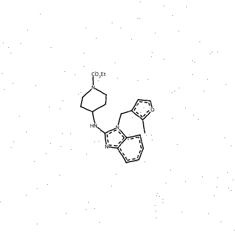 CCOC(=O)N1CCC(Nc2nc3ccccc3n2Cc2ccoc2C)CC1